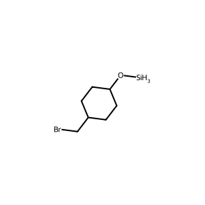 [SiH3]OC1CCC(CBr)CC1